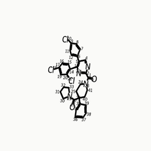 O=C(c1ncc(-c2ccc(Cl)cc2)c(-c2ccc(Cl)cc2Cl)n1)N1CCC(C(=O)N2CCCC2)(c2ccccc2)CC1